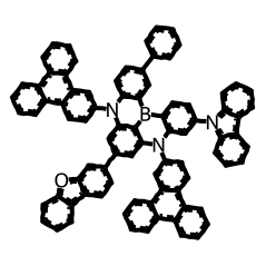 c1ccc(-c2ccc3c(c2)B2c4ccc(-n5c6ccccc6c6ccccc65)cc4N(c4ccc5c6ccccc6c6ccccc6c5c4)c4cc(-c5ccc6c(c5)oc5ccccc56)cc(c42)N3c2ccc3c4ccccc4c4ccccc4c3c2)cc1